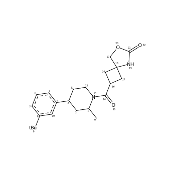 CC1CC(c2cccc(C(C)(C)C)c2)CCN1C(=O)C1CC2(COC(=O)N2)C1